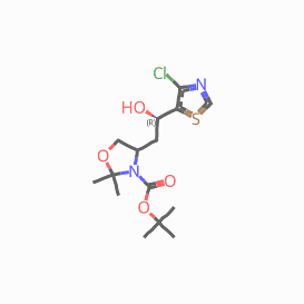 CC(C)(C)OC(=O)N1C(C[C@@H](O)c2scnc2Cl)COC1(C)C